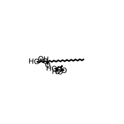 C=C(CC(=O)O)C(=O)O.CCCCCCCCCCCCCCCCCC(=O)OCC(O)CO